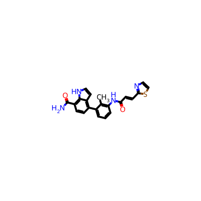 Cc1c(NC(=O)/C=C/c2nccs2)cccc1-c1ccc(C(N)=O)c2[nH]ccc12